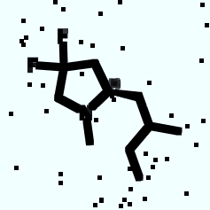 CCC(C)C[C@@H]1CC(F)(F)CN1C